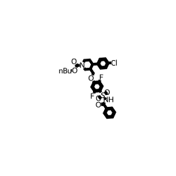 CCCCOC(=O)N1CCC(c2ccc(Cl)cc2)C(COc2cc(F)c(S(=O)(=O)NC(=O)c3ccccc3)cc2F)C1